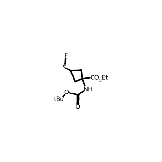 CCOC(=O)C1(NC(=O)OC(C)(C)C)CC(SF)C1